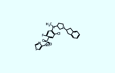 CN(c1cc(F)c(S(=O)(=O)Nc2cscn2)cc1Cl)C1CCN(C2Cc3ccccc3C2)C1